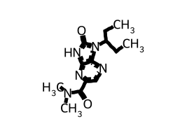 CCC(CC)n1c(=O)[nH]c2nc(C(=O)N(C)C)cnc21